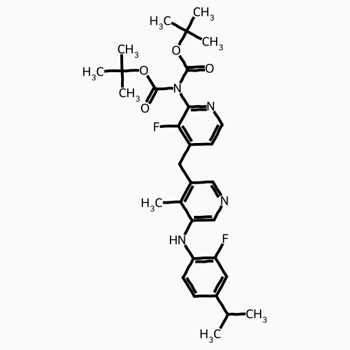 Cc1c(Cc2ccnc(N(C(=O)OC(C)(C)C)C(=O)OC(C)(C)C)c2F)cncc1Nc1ccc(C(C)C)cc1F